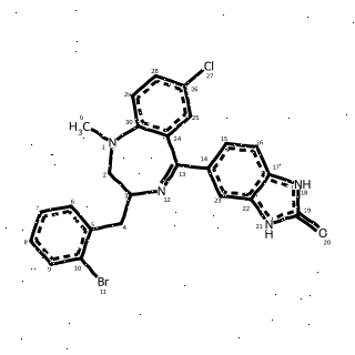 CN1CC(Cc2ccccc2Br)N=C(c2ccc3[nH]c(=O)[nH]c3c2)c2cc(Cl)ccc21